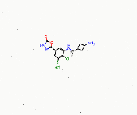 C[C@H](Nc1cc(-c2n[nH]c(=O)o2)cc(F)c1Cl)C1CC(N)C1.Cl